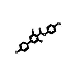 CCC1=CCC(c2cc(F)c(C(=O)Oc3ccc(C#N)cc3)c(F)c2)C=C1